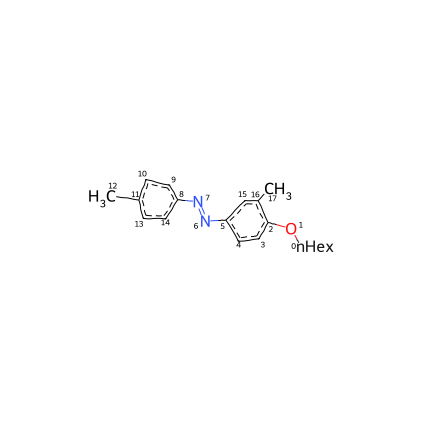 CCCCCCOc1ccc(N=Nc2ccc(C)cc2)cc1C